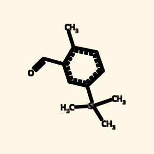 Cc1ccc([Si](C)(C)C)cc1C=O